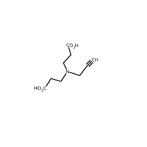 C#CCN(CCC(=O)O)CCC(=O)O